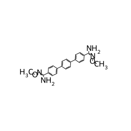 CO/N=C(\N)c1ccc(-c2ccc(-c3ccc(/C(N)=N\OC)cc3)cc2)cc1